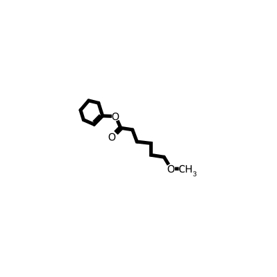 COCCCCCC(=O)OC1=CCCCC1